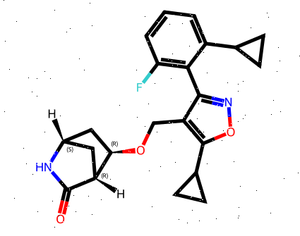 O=C1N[C@@H]2C[C@@H](OCc3c(-c4c(F)cccc4C4CC4)noc3C3CC3)[C@H]1C2